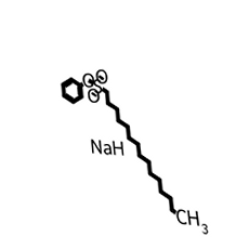 CCCCCCCCCCCCCCCS(=O)(=O)Oc1ccccc1.[NaH]